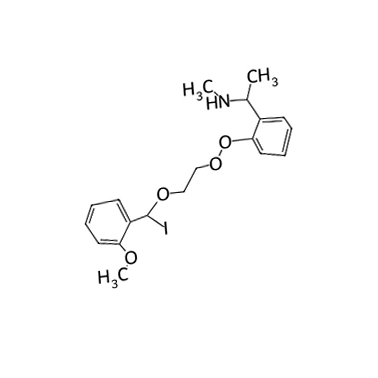 CNC(C)c1ccccc1OOCCOC(I)c1ccccc1OC